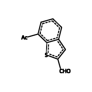 [CH2]C(=O)c1cccc2cc(C=O)sc12